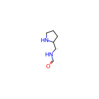 O=CN[CH]C1CCCN1